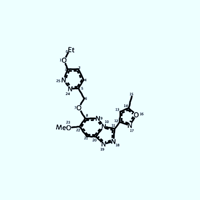 CCOc1ccc(COc2nn3c(-c4cc(C)on4)nnc3cc2OC)nn1